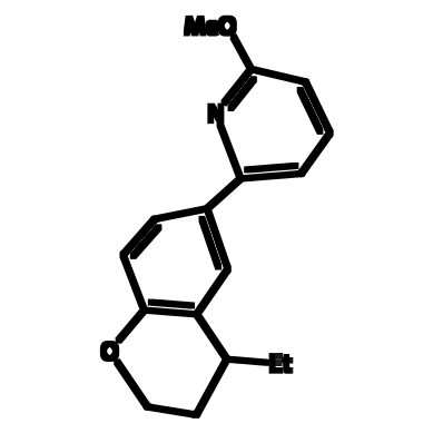 CCC1CCOc2ccc(-c3cccc(OC)n3)cc21